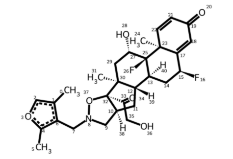 Cc1coc(C)c1CN1C[C@@H]2C[C@H]3[C@@H]4C[C@H](F)C5=CC(=O)C=C[C@]5(C)[C@@]4(F)[C@@H](O)C[C@]3(C)[C@]2(C(=O)CO)O1